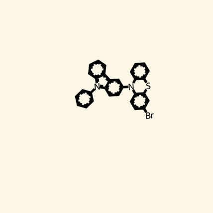 Brc1ccc2c(c1)Sc1ccccc1N2c1ccc2c(c1)c1ccccc1n2-c1ccccc1